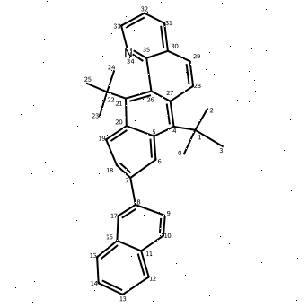 CC(C)(C)c1c2cc(-c3ccc4ccccc4c3)ccc2c(C(C)(C)C)c2c1ccc1cccnc12